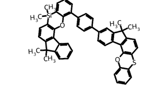 CC1(C)c2cc(-c3ccc(-c4cccc5c4Oc4c(ccc6c4-c4ccccc4C6(C)C)[Si]5(C)C)cc3)ccc2-c2c1ccc1c2Oc2ccccc2S1